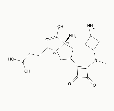 CN(c1c(N2C[C@H](CCCB(O)O)[C@](N)(C(=O)O)C2)c(=O)c1=O)C1CC(N)C1